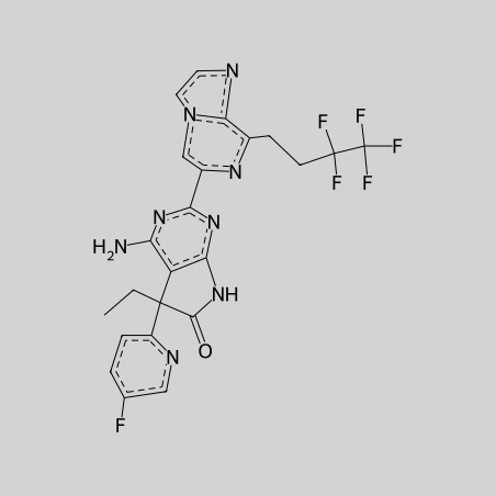 CCC1(c2ccc(F)cn2)C(=O)Nc2nc(-c3cn4ccnc4c(CCC(F)(F)C(F)(F)F)n3)nc(N)c21